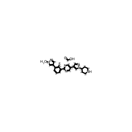 Cn1cc(-c2cccc(-c3ncc(-c4cnn(C5CCNCC5)c4)cn3)c2F)cn1.O=CO